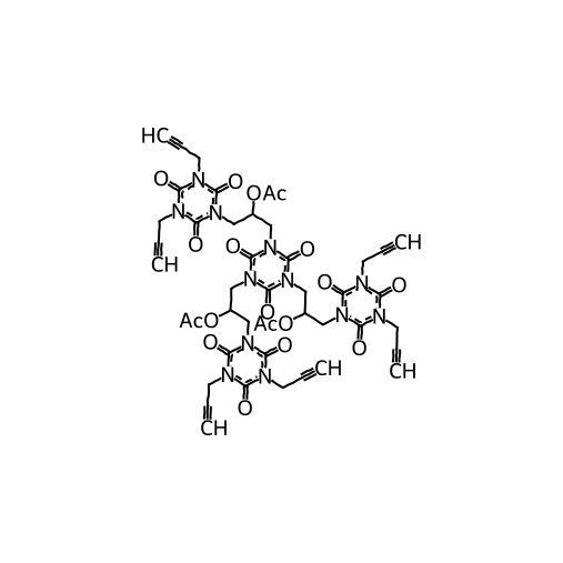 C#CCn1c(=O)n(CC#C)c(=O)n(CC(Cn2c(=O)n(CC(Cn3c(=O)n(CC#C)c(=O)n(CC#C)c3=O)OC(C)=O)c(=O)n(CC(Cn3c(=O)n(CC#C)c(=O)n(CC#C)c3=O)OC(C)=O)c2=O)OC(C)=O)c1=O